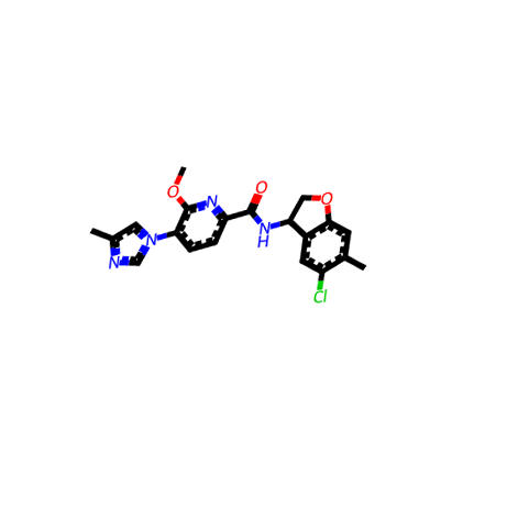 COc1nc(C(=O)NC2COc3cc(C)c(Cl)cc32)ccc1-n1cnc(C)c1